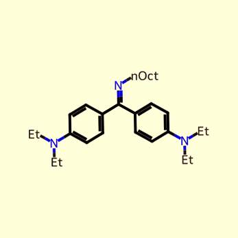 CCCCCCCCN=C(c1ccc(N(CC)CC)cc1)c1ccc(N(CC)CC)cc1